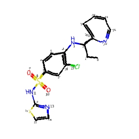 CCC(Nc1ccc(S(=O)(=O)Nc2nccs2)cc1Cl)c1ccccn1